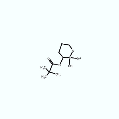 CC(C)(C)C(=O)OC1CCCOS1(O)O